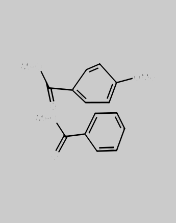 COC(=O)c1ccc(OC)cc1.COC(=O)c1ccccc1